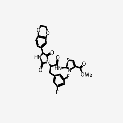 COC(=O)c1csc(NC(=O)C(Cc2cc(F)cc(F)c2)N2C(=O)NC(c3ccc4c(c3)OCCO4)C2=O)n1